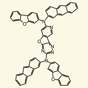 c1ccc2cc3cc(N(c4ccc5c(c4)oc4ccccc45)c4cc5oc6nc(N(c7ccc8cc9ccccc9cc8c7)c7ccc8c(c7)oc7ccccc78)nnc6c5cn4)ccc3cc2c1